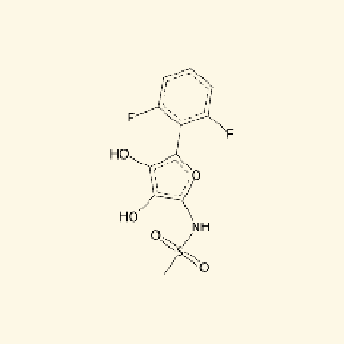 CS(=O)(=O)Nc1oc(-c2c(F)cccc2F)c(O)c1O